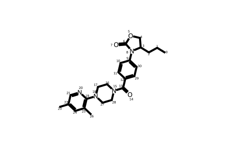 CCCC1COC(=O)N1c1ccc(C(=O)N2CCN(c3ncc(C)cc3C)CC2)cc1